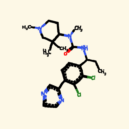 CCC(NC(=O)N(C)C1CCN(C)CC1(C)C)c1ccc(-c2cnccn2)c(Cl)c1Cl